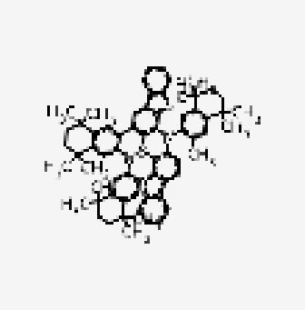 Cc1cc2c(cc1N1c3ccc4c(oc5ccccc54)c3B3c4c(cc5c(sc6ccccc65)c41)-c1cc4c(cc1N3c1ccc3c(c1)C(C)(C)CCC3(C)C)C(C)(C)CCC4(C)C)C(C)(C)CCC2(C)C